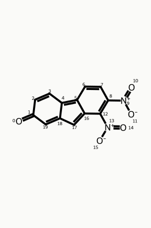 O=C1C=CC2=c3ccc([N+](=O)[O-])c([N+](=O)[O-])c3=CC2=C1